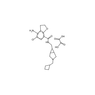 Nc1c(Cl)cc(C(=O)NCC2C3CN(CC4CCC4)CC23)c2c1CCO2.O=C(O)C(=O)O